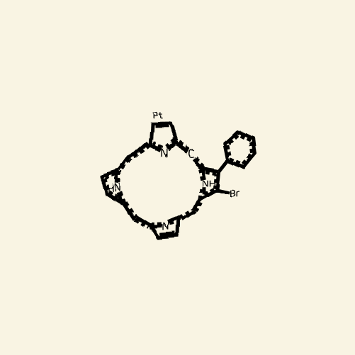 Brc1c(-c2ccccc2)c2cc3nc(cc4ccc(cc5nc(cc1[nH]2)C=C5)[nH]4)C=C3.[Pt]